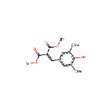 COc1cc(C=C(C(=O)OC(C)C)C(=O)OC(C)C)cc(OC)c1O